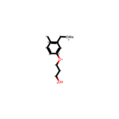 COCc1cc(OCCCO)ccc1C